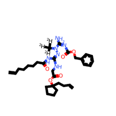 [2H]C([2H])([2H])N(N=C(NCC(=O)OC1(CCC=C)CCCC1)NC(=O)CCCCCC=C)C(N)=NC(=O)OCc1ccccc1